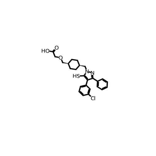 O=C(O)COC[C@H]1CC[C@@H](Cn2nc(-c3ccccc3)c(-c3cccc(Cl)c3)c2S)CC1